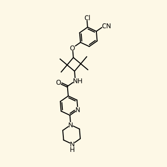 CC1(C)C(NC(=O)c2ccc(N3CCNCC3)nc2)C(C)(C)C1Oc1ccc(C#N)c(Cl)c1